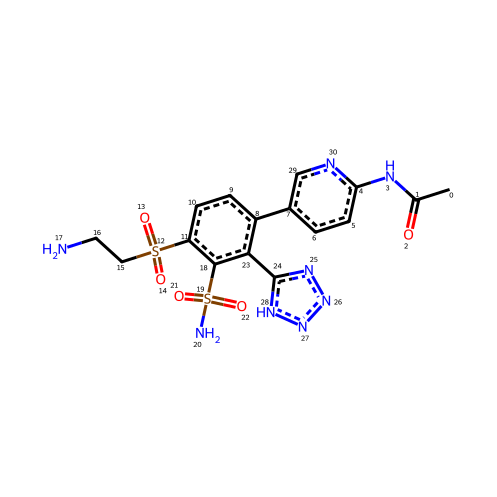 CC(=O)Nc1ccc(-c2ccc(S(=O)(=O)CCN)c(S(N)(=O)=O)c2-c2nnn[nH]2)cn1